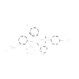 CCNCc1ccc(OC)c(C2(N3CCC[C@H]3c3ncon3)C(=O)N(S(=O)(=O)c3ccc(OC)cc3)c3ccc(Cl)cc32)c1